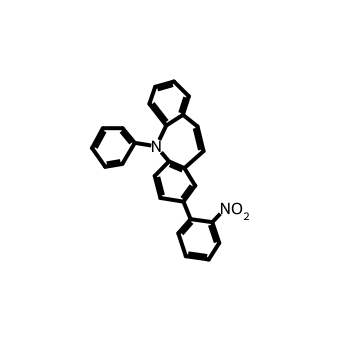 O=[N+]([O-])c1ccccc1-c1ccc2c(c1)C=Cc1ccccc1N2c1ccccc1